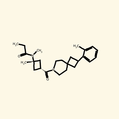 CCC(=O)N(C)[C@]1(C)C[C@H](C(=O)N2CCC3(CC2)CC(c2ccccc2C)C3)C1